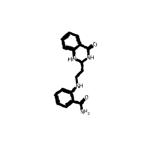 NC(=O)c1ccccc1NCCC1NC(=O)c2ccccc2N1